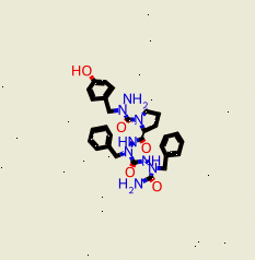 NC(=O)N(Cc1ccccc1)NC(=O)N(Cc1ccccc1)NC(=O)[C@@H]1CCCN1C(=O)N(N)Cc1ccc(O)cc1